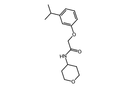 CC(C)c1cccc(OCC(=O)NC2CCOCC2)c1